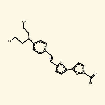 O=C(O)c1ccc(-c2ccc(/C=C/c3ccc(N(CCO)CCO)cc3)s2)s1